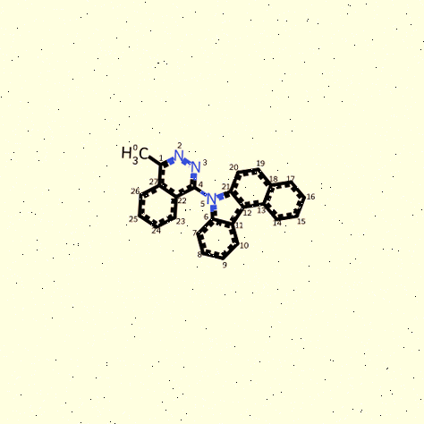 Cc1nnc(-n2c3ccccc3c3c4ccccc4ccc32)c2ccccc12